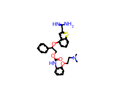 CN(C)CCOc1ccccc1NC(=O)OCC(Oc1cccc2sc(C(=N)N)cc12)c1ccccc1